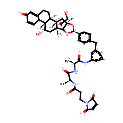 C[C@H](NC(=O)CCN1C(=O)C=CC1=O)C(=O)N[C@@H](C)C(=O)Nc1cccc(Cc2ccc([C@@H]3O[C@@H]4C[C@H]5[C@@H]6CCC7=CC(=O)C=CC7[C@H]6[C@@H](O)C[C@]5(C)[C@]4(C(=O)CO)O3)cc2)c1